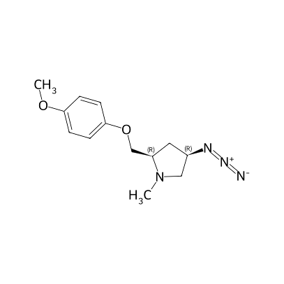 COc1ccc(OC[C@H]2C[C@@H](N=[N+]=[N-])CN2C)cc1